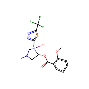 COc1ccccc1C(=O)OC1CN(C)C[N+]1([O-])c1nnc(C(F)(F)F)s1